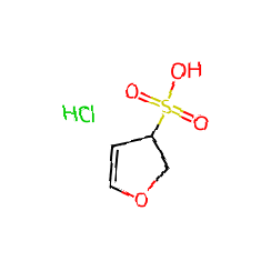 Cl.O=S(=O)(O)C1C=COC1